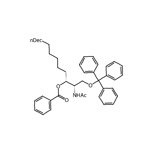 CCCCCCCCCCCCCCC[C@@H](OC(=O)c1ccccc1)[C@H](COC(c1ccccc1)(c1ccccc1)c1ccccc1)NC(C)=O